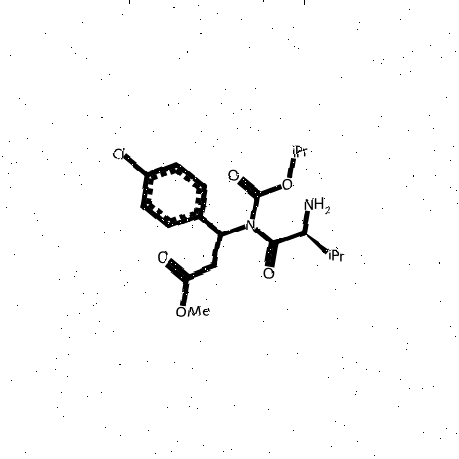 COC(=O)CC(c1ccc(Cl)cc1)N(C(=O)OC(C)C)C(=O)[C@@H](N)C(C)C